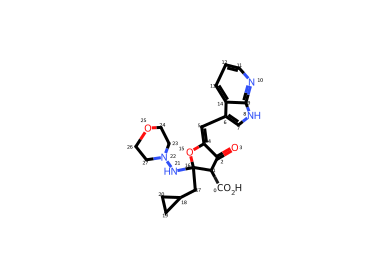 O=C(O)C1C(=O)C(=Cc2c[nH]c3ncccc23)OC1(CC1CC1)NN1CCOCC1